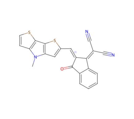 Cn1c2ccsc2c2sc(/C=C3\C(=O)c4ccccc4C3=C(C#N)C#N)cc21